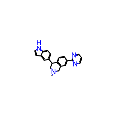 CN1Cc2cc(-c3ncccn3)ccc2C(c2ccc3[nH]ccc3c2)C1